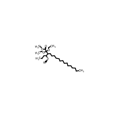 CCCCCCCCCCCCCCCC(C(CCC)SC#N)C(OCC)(OCC)C(=O)O[SiH3]